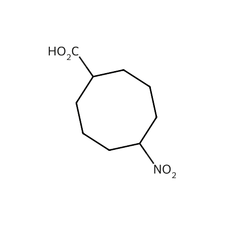 O=C(O)C1CCCC([N+](=O)[O-])CCC1